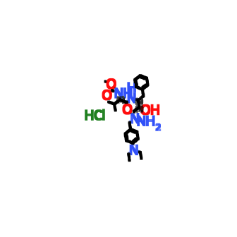 CCN(CC)c1ccc(CN(N)C[C@H](O)[C@H](Cc2ccccc2)NC(=O)[C@@H](NC(=O)OC)C(C)C)cc1.Cl